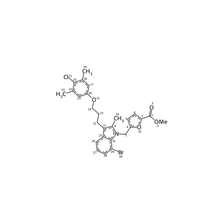 COC(=O)c1ccc(Cn2c(C)c(CCCOc3cc(C)c(Cl)c(C)c3)c3cccc(Br)c32)o1